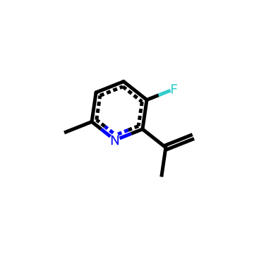 C=C(C)c1nc(C)ccc1F